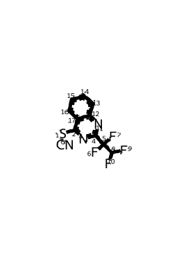 N#CSc1nc(C(F)(F)C(F)F)nc2ccccc12